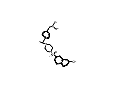 CC(C)N(Cc1ccc(C(=O)N2CCN(S(=O)(=O)c3ccc4ccc(O)cc4c3)CC2)cc1)C(C)C